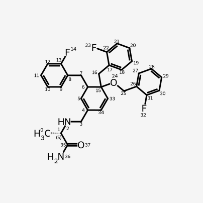 C[C@H](NCC1=CC(Cc2ccccc2F)C(Cc2ccccc2F)(OCc2ccccc2F)C=C1)C(N)=O